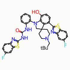 CC(C)(C)CN1CCC2(CC1)CN(c1ccccc1NC(=O)Nc1nc3ccc(F)cc3s1)c1c(O)ccc(-c3nc4cc(F)ccc4s3)c12